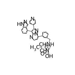 CC(C)(C)[C@]12C[C@@H](CN1C(=O)O)N(Cc1cccc(-c3ccnc4c(-c5cccc6[nH]ncc56)c(-c5ccncc5)nn34)c1)C2